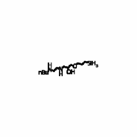 CCCCNCCNCC(O)COCCC[SiH3]